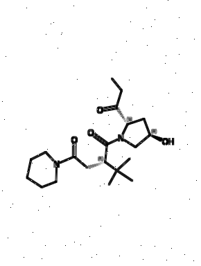 CCC(=O)[C@@H]1C[C@@H](O)CN1C(=O)[C@@H](CC(=O)N1CCCCC1)C(C)(C)C